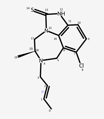 C/C=C/CN1Cc2c(Cl)ccc3[nH]c(=S)n(c23)C[C@@H]1C